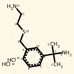 CC(C)(N)c1cccc(CSCCN)c1.Cl.Cl